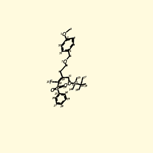 COc1ccc(COCC/C(CO[Si](C)(C)C(C)(C)C)=C(\F)S(=O)(=O)c2ccccc2)cc1